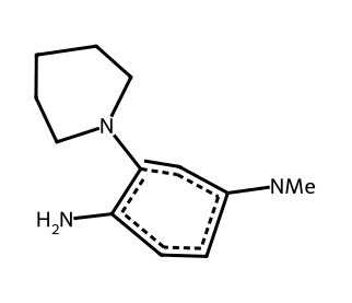 CNc1ccc(N)c(N2CCCCC2)c1